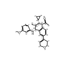 COc1cccc(N[C@H]2c3cc(C4=CCOCC4)ccc3N(C(C)=O)[C@@H](C3CC3)[C@@H]2C)n1